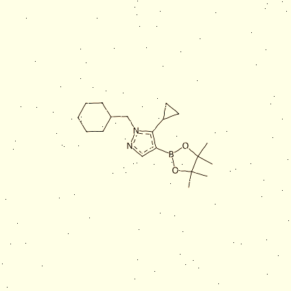 CC1(C)OB(c2cnn(CC3CCCCC3)c2C2CC2)OC1(C)C